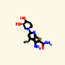 CCCc1cc(N2CCC(O)[C@@H](O)C2)nc2sc(C(N)=O)c(N)c12